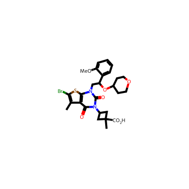 COc1ccccc1C(Cn1c(=O)n(C2CC(C)(C(=O)O)C2)c(=O)c2c(C)c(Br)sc21)OC1CCOCC1